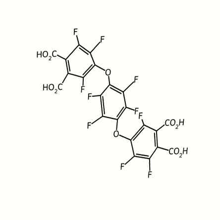 O=C(O)c1c(F)c(F)c(Oc2c(F)c(F)c(Oc3c(F)c(F)c(C(=O)O)c(C(=O)O)c3F)c(F)c2F)c(F)c1C(=O)O